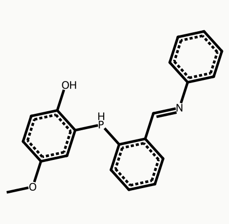 COc1ccc(O)c(Pc2ccccc2/C=N/c2ccccc2)c1